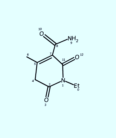 CCN1C(=O)CC(C)=C(C(N)=O)C1=O